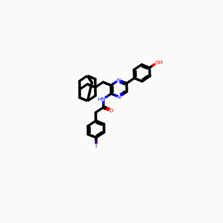 O=C(Cc1ccc(I)cc1)Nc1ncc(-c2ccc(O)cc2)nc1CC12CC3CC(CC(C3)C1)C2